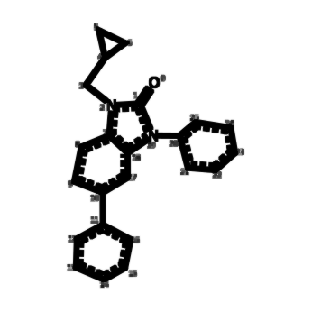 O=c1n(CC2CC2)c2ccc(-c3ccccc3)cc2n1-c1ccccc1